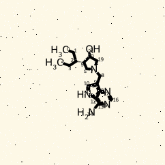 CCC(CC)[C@H]1CN(Cc2c[nH]c3c(N)ncnc23)CC1O